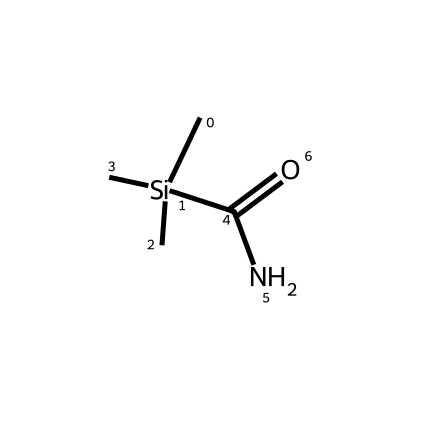 C[Si](C)(C)C(N)=O